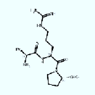 CC(C)[C@H](N)C(=O)N[C@@H](CCCNC(=N)N)C(=O)N1CCC[C@H]1[C]=O